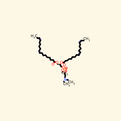 CC/C=C\CCCC/C=C\CCCCCCCC(=O)OC[C@H](COP(=O)(OC)OCCCN(CC)CC)OC(=O)CCCCCCC/C=C\CCCC/C=C\CC